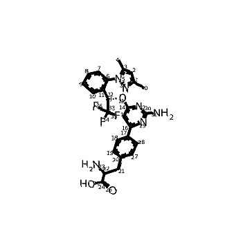 Cc1cc(C)n(-c2ccccc2[C@H](Oc2cc(-c3ccc(CC(N)C(=O)O)cc3)nc(N)n2)C(F)(F)F)n1